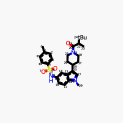 Cc1ccc(S(=O)(=O)Nc2ccc3c(c2)c(C2CCN(C(=O)C(C)C(C)(C)C)CC2)cn3C)cc1